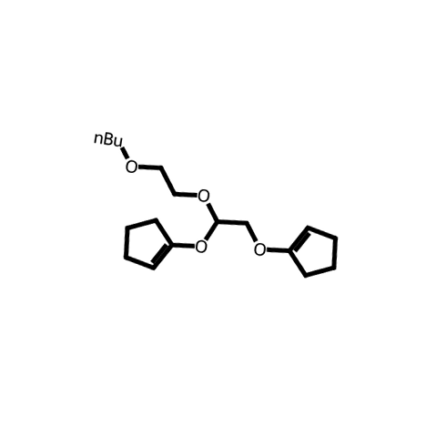 CCCCOCCOC(COC1=CCCC1)OC1=CCCC1